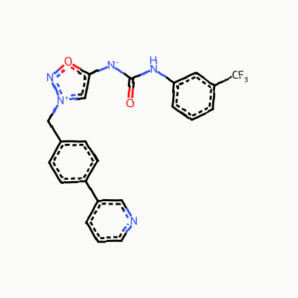 O=C([N-]c1c[n+](Cc2ccc(-c3cccnc3)cc2)no1)Nc1cccc(C(F)(F)F)c1